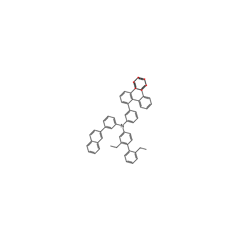 CCc1ccccc1-c1ccc(N(c2cccc(-c3ccc4ccccc4c3)c2)c2cccc(-c3cccc(-c4ccccc4)c3-c3ccccc3-c3ccccc3)c2)cc1CC